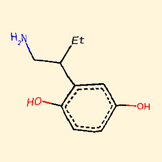 CCC(CN)c1cc(O)ccc1O